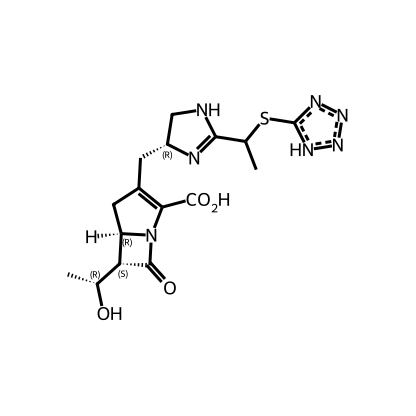 CC(Sc1nnn[nH]1)C1=N[C@H](CC2=C(C(=O)O)N3C(=O)[C@H]([C@@H](C)O)[C@H]3C2)CN1